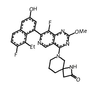 CCc1c(F)ccc2cc(O)cc(-c3ncc4c(N5CCCC6(CC(=O)N6)C5)nc(OC)nc4c3F)c12